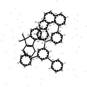 CC1(C)C2=C(CCC=C2)c2c(N(c3cc(-c4ccccc4)cc(-c4ccccc4)c3)c3cccc(-c4cccc5ccc6sc7ccccc7c6c45)c3)cccc21